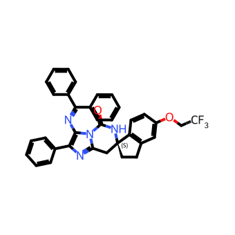 O=C1N[C@@]2(CCc3cc(OCC(F)(F)F)ccc32)Cc2nc(-c3ccccc3)c(N=C(c3ccccc3)c3ccccc3)n21